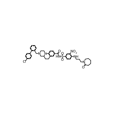 O=C(NS(=O)(=O)c1ccc(NCCCN2CCCCCC2=O)c([N+](=O)[O-])c1)c1ccc2c(c1)CCC1CN(Cc3ccccc3-c3ccc(Cl)cc3)CCN21